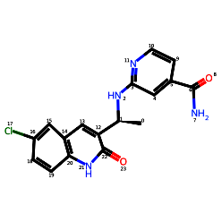 C[C@H](Nc1cc(C(N)=O)ccn1)c1cc2cc(Cl)ccc2[nH]c1=O